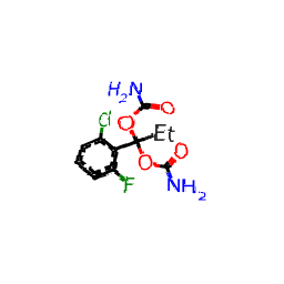 CCC(OC(N)=O)(OC(N)=O)c1c(F)cccc1Cl